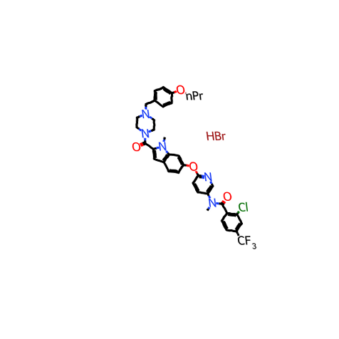 Br.CCCOc1ccc(CN2CCN(C(=O)c3cc4ccc(Oc5ccc(N(C)C(=O)c6ccc(C(F)(F)F)cc6Cl)cn5)cc4n3C)CC2)cc1